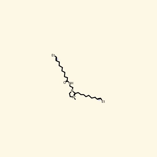 CC/C=C/CCCCCCCC(=O)NCCN1CC[N+](C)=C1CCCCCCC/C=C/CC